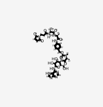 CC(C)[C@H](NC(=O)CCN1C(=O)C=CC1=O)C(=O)N[C@@H](C)C(=O)Nc1ccc(COC(=O)N(C)[C@@H](C)C(=O)N[C@@H]2[C@@H](O)[C@H](O)[C@@H](Nc3ncnc4nc[nH]c34)O[C@H]2CO)cc1